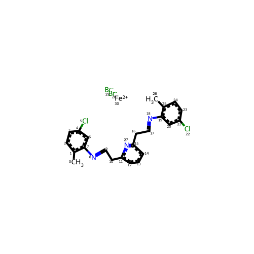 Cc1ccc(Cl)cc1N=CCc1cccc(CC=Nc2cc(Cl)ccc2C)n1.[Br-].[Br-].[Fe+2]